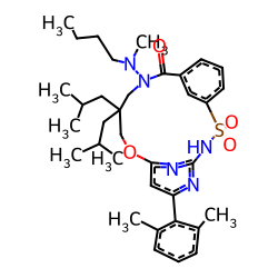 CCCCN(C)N1CC(CC(C)C)(CC(C)C)COc2cc(-c3c(C)cccc3C)nc(n2)NS(=O)(=O)c2cccc(c2)C1=O